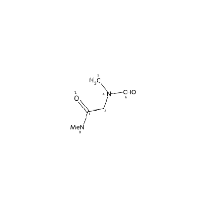 CNC(=O)CN(C)C=O